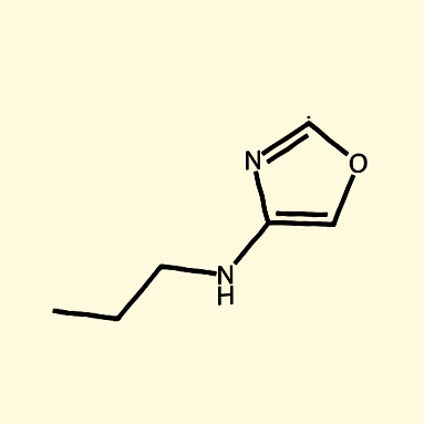 CCCNc1co[c]n1